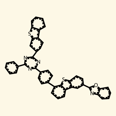 c1ccc(-c2nc(-c3ccc(-c4cccc5c4sc4ccc(-c6nc7ccccc7o6)cc45)cc3)nc(-c3ccc4c(c3)sc3ccccc34)n2)cc1